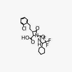 O=C(O)C1[C@@H](CCc2ccccc2Cl)C(=O)N1C(=O)NC(C1CCCCC1)C(F)(F)F